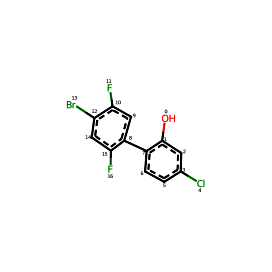 Oc1cc(Cl)ccc1-c1cc(F)c(Br)cc1F